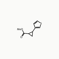 COC(=O)C1CC1c1ccsc1